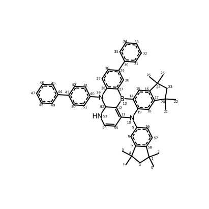 CC1(C)CC(C)(C)c2cc(N3C4=C5B(c6cc7c(cc63)C(C)(C)CC7(C)C)c3cc(-c6ccccc6)ccc3N(c3ccc(-c6ccccc6)cc3)C5NC=C4)ccc21